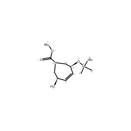 CC(C)(C)OC(=O)N1C[C@H](O)C=C[C@H](O[Si](C)(C)C(C)(C)C)C1